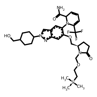 C[Si](C)(C)CCOCN1C(=O)CC[C@@H]1COc1cc2nn(C3CCC(CO)CC3)cc2cc1N1C(C(F)(F)F)=CC=CC1C(N)=O